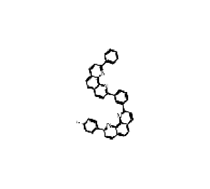 C[C@@H]1C=CC(c2ccc3ccc4ccc(-c5cccc(-c6ccc7ccc8ccc(-c9ccccc9)nc8c7n6)c5)nc4c3n2)=CC1